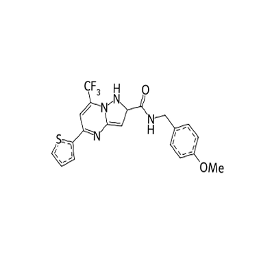 COc1ccc(CNC(=O)C2C=C3N=C(c4cccs4)C=C(C(F)(F)F)N3N2)cc1